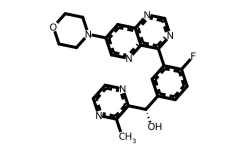 Cc1nccnc1[C@@H](O)c1ccc(F)c(-c2ncnc3cc(N4CCOCC4)cnc23)c1